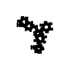 c1cc2c(cc1Cc1nc3cc(-c4nnn[nH]4)ccc3n1C1CCCCC1)CCCN2